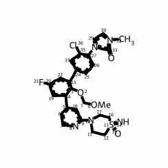 COCOc1c(-c2ccnc(N3CCS(=N)(=O)CC3)c2)cc(F)cc1-c1ccc(-n2ccn(C)c2=O)c(Cl)c1